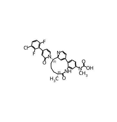 C[C@@H]1CCC[C@H](n2ccc(-c3c(F)ccc(Cl)c3F)cc2=O)c2cc(ccn2)-c2ccc(N(C)C(=O)O)cc2NC1=O